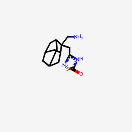 NCC1(Cc2nsc(=O)[nH]2)C2CC3CC(C2)CC1C3